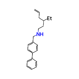 C=CCC(CC)CCNCc1ccc(-c2ccccc2)cc1